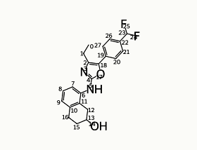 CCc1nc(Nc2cccc3c2CC(O)CC3)oc1-c1ccc(C(F)F)cc1